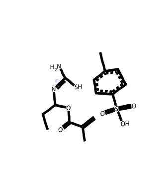 C=C(C)C(=O)OC(CC)/N=C(/N)S.Cc1ccc(S(=O)(=O)O)cc1